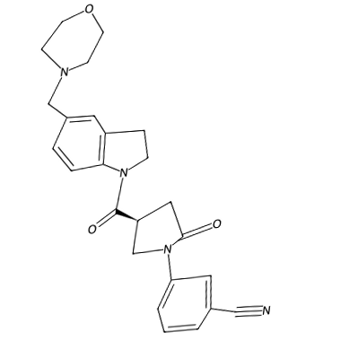 N#Cc1cccc(N2C[C@@H](C(=O)N3CCc4cc(CN5CCOCC5)ccc43)CC2=O)c1